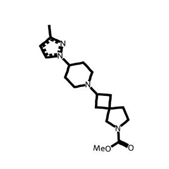 COC(=O)N1CCC2(CC(N3CCC(n4ccc(C)n4)CC3)C2)C1